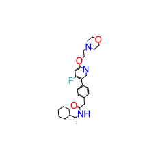 C[C@@H](NC(=O)Cc1ccc(-c2cnc(OCCN3CCOCC3)cc2F)cc1)C1CCCCC1